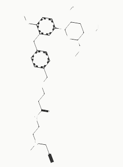 C#CCN(C)CCNC(=O)CCOCc1ccc(Cc2cc([C@@H]3O[C@H](SC)[C@@H](OBr)C[C@H]3OI)ccc2SCl)cc1